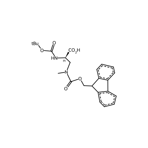 CN(C[C@@H](NC(=O)OC(C)(C)C)C(=O)O)C(=O)OCC1c2ccccc2-c2ccccc21